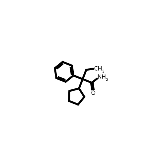 CCC(C(N)=O)(c1ccccc1)C1CCCC1